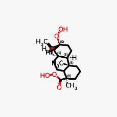 C=C1C[C@@]23CCC4[C@](C)(C(=O)OO)CCC[C@@]4(C)[C@@H]2CC[C@]1(OO)[C@@H]3C